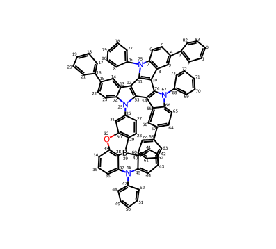 c1ccc(-c2ccc3c(c2)c2c(c4c5cc(-c6ccccc6)ccc5n(-c5ccc6c(c5)Oc5cccc7c5B6c5ccccc5N7c5ccccc5)c4c4c5cc(-c6ccccc6)ccc5n(-c5ccccc5)c24)n3-c2ccccc2)cc1